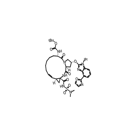 CC(C)n1c(O[C@@H]2C[C@H]3C(=O)N[C@]4(C(=O)NS(=O)(=O)N(C)C)C[C@H]4/C=C\CCCCC[C@H](NC(=O)OC(C)(C)C)C(=O)N3C2)nc2c(-c3ncco3)cccc21